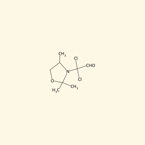 CC1COC(C)(C)N1C(Cl)(Cl)C=O